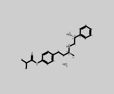 CC(C)C(=O)Oc1ccc(CC[C@H](C)NC[C@H](O)c2ccccc2)cc1.Cl